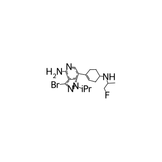 CC(CF)NC1CC=C(c2cnc(N)c3c(Br)nn(C(C)C)c23)CC1